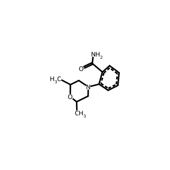 CC1CN(c2ccccc2C(N)=O)CC(C)O1